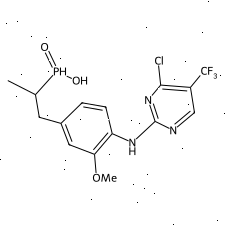 COc1cc(CC(C)[PH](=O)O)ccc1Nc1ncc(C(F)(F)F)c(Cl)n1